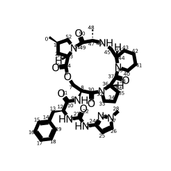 C[C@@H]1C[C@H]2C(=O)OC[C@H](NC(=O)[C@H](Cc3ccccc3)NC(=O)Nc3ccn(C)n3)C(=O)N3CCC[C@H]3C(=O)N3CCCC[C@H]3CN[C@@H](C)C(=O)N2C1